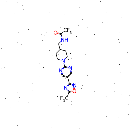 O=C(NCC1CCN(c2ncc(-c3noc(C(F)(F)F)n3)cn2)CC1)C(F)(F)F